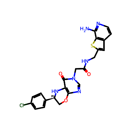 Nc1nccc2cc(CNC(=O)Cn3cnc4c(c3=O)N[C@H](c3ccc(Cl)cc3)CO4)sc12